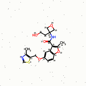 Cc1ncsc1COc1ccc2oc(C)c(C(=O)NC3(CCO)COC3)c2c1